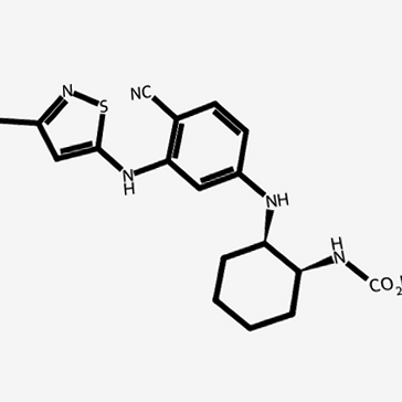 Cc1cc(Nc2cc(N[C@@H]3CCCC[C@@H]3NC(=O)O)ccc2C#N)sn1